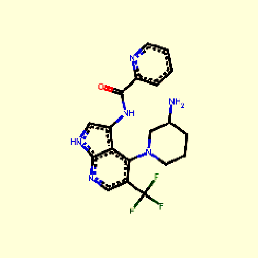 NC1CCCN(c2c(C(F)(F)F)cnc3[nH]cc(NC(=O)c4ccccn4)c23)C1